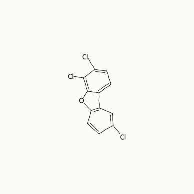 Clc1ccc2oc3c(Cl)c(Cl)ccc3c2c1